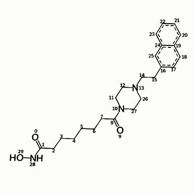 O=C(CCCCCCC(=O)N1CCN(CCc2ccc3ccccc3c2)CC1)NO